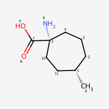 C[C@H]1CCC[C@](N)(C(=O)O)CC1